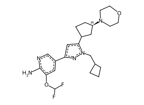 Nc1ncc(-c2cc(C3CC[C@@H](N4CCOCC4)C3)n(CC3CCC3)n2)cc1OC(F)F